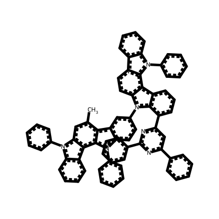 Cc1cc2c(c3ccccc3n2-c2ccccc2)c2c1c1cc(-n3c4ccc5c6ccccc6n(-c6ccccc6)c5c4c4cccc(-c5cc(-c6ccccc6)nc(-c6ccccc6)n5)c43)ccc1n2-c1ccccc1